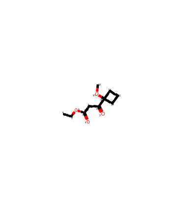 CCOC(=O)CC(=O)C1(OC)CCC1